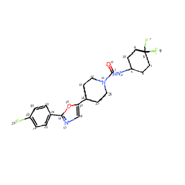 O=C(NC1CCC(F)(F)CC1)N1CCC(c2cnc(-c3ccc(F)cc3)o2)CC1